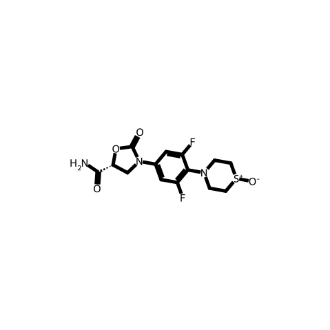 NC(=O)[C@H]1CN(c2cc(F)c(N3CC[S+]([O-])CC3)c(F)c2)C(=O)O1